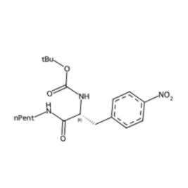 CCCCCNC(=O)[C@@H](Cc1ccc([N+](=O)[O-])cc1)NC(=O)OC(C)(C)C